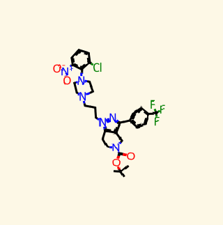 CC(C)(C)OC(=O)N1CCc2c(c(-c3ccc(C(F)(F)F)cc3)nn2CCCN2CCN(c3c(Cl)cccc3[N+](=O)[O-])CC2)C1